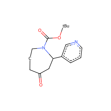 CC(C)(C)OC(=O)N1CCCC(=O)CC1c1cccnc1